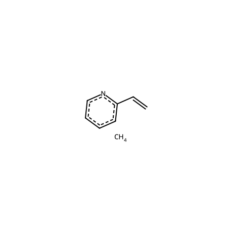 C.C=Cc1ccccn1